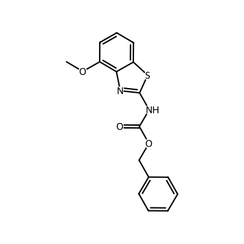 COc1cccc2sc(NC(=O)OCc3ccccc3)nc12